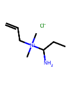 C=CC[N+](C)(C)C(N)CC.[Cl-]